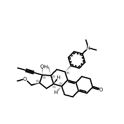 CC#C[C@]1(O)[C@H](COC)C[C@H]2[C@@H]3CCC4=CC(=O)CCC4=C3[C@@H](c3ccc(N(C)C)cc3)C[C@@]21C